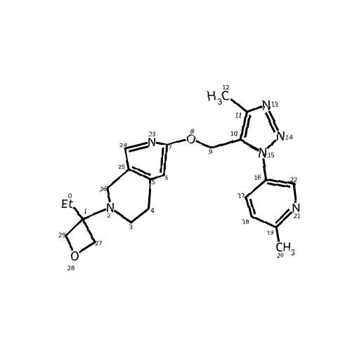 CCC1(N2CCc3cc(OCc4c(C)nnn4-c4ccc(C)nc4)ncc3C2)COC1